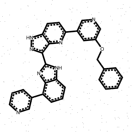 c1ccc(COc2cncc(-c3ccc4[nH]nc(-c5nc6c(-c7cccnc7)cccc6[nH]5)c4n3)c2)cc1